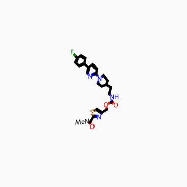 CNC(=O)c1nc(COC(=O)NCCC2CCN(c3ccc(-c4ccc(F)cc4)cn3)CC2)cs1